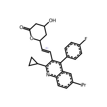 CC(C)c1ccc2nc(C3CC3)c(/C=C/C3CC(O)CC(=O)O3)c(-c3ccc(F)cc3)c2c1